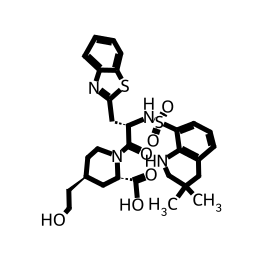 CC1(C)CNc2c(cccc2S(=O)(=O)N[C@@H](Cc2nc3ccccc3s2)C(=O)N2CC[C@H](CCO)C[C@H]2C(=O)O)C1